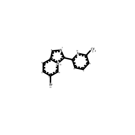 FC(F)(F)c1cccc(-c2ncc3ccc(Br)cn23)n1